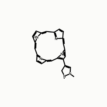 CN1C=C(c2cc3cc4nc(cc5ccc(cc6nc(cc2[nH]3)C=C6)[nH]5)C=C4)CN1C